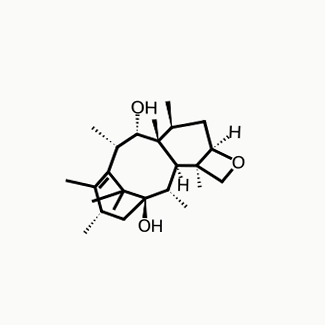 CC1=C2[C@H](C)[C@H](O)[C@@]3(C)[C@H]([C@H](C)[C@](O)(C[C@@H]1C)C2(C)C)[C@]1(C)CO[C@@H]1C[C@@H]3C